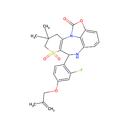 C=C(C)COc1ccc(C2Nc3cccc4oc(=O)n(c34)C3=C2S(=O)(=O)CC(C)(C)C3)c(F)c1